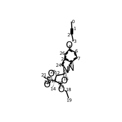 CC#CCOc1ccc2nn(CC[C@@](C)(C(=O)OCC)S(C)(=O)=O)cc2c1